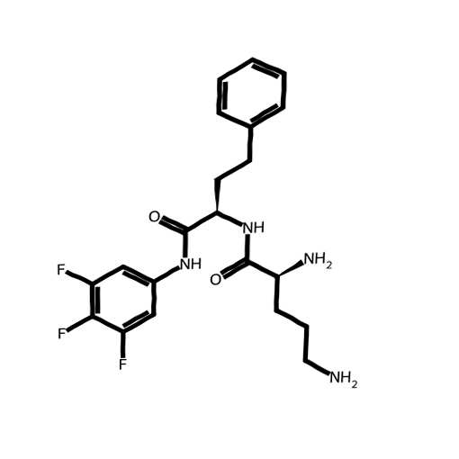 NCCC[C@H](N)C(=O)N[C@H](CCc1ccccc1)C(=O)Nc1cc(F)c(F)c(F)c1